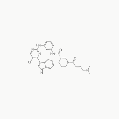 CN(C)CC=CC(=O)N1CCC[C@H](C(=O)Nc2cccc(Nc3ncc(Cl)c(-c4c[nH]c5ccccc45)n3)c2)C1